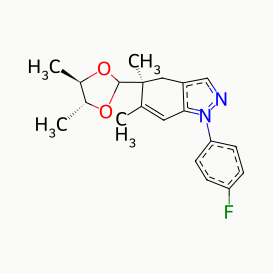 CC1=Cc2c(cnn2-c2ccc(F)cc2)C[C@]1(C)C1O[C@H](C)[C@@H](C)O1